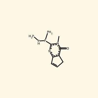 Cn1c(P(P)PP)nc2c(c1=O)CC=C2